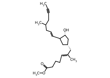 CC#CCC(C)C/C=C/C1C[C@@H](CC(C)=CCCCC(=O)OC)C[C@H]1O